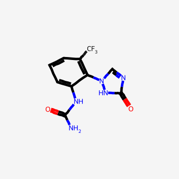 NC(=O)Nc1cccc(C(F)(F)F)c1-n1cnc(=O)[nH]1